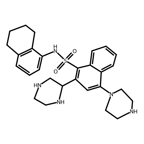 O=S(=O)(Nc1cccc2c1CCCC2)c1c(C2CNCCN2)cc(N2CCNCC2)c2ccccc12